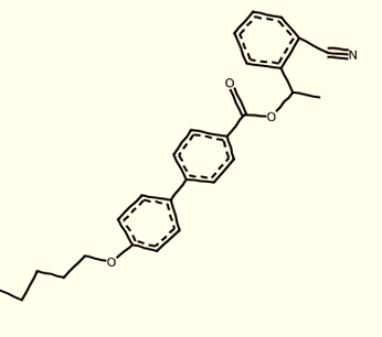 CCCCCOc1ccc(-c2ccc(C(=O)OC(C)c3ccccc3C#N)cc2)cc1